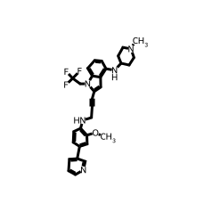 COc1cc(-c2cccnc2)ccc1NCC#Cc1cc2c(NC3CCN(C)CC3)cccc2n1CC(F)(F)F